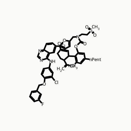 C=C(C)C1CCC(C)=CC1c1c(O)cc(CCCCC)cc1OC(=O)N(CCS(C)(=O)=O)Cc1ccc(-c2ccc3ncnc(Nc4ccc(OCc5cccc(F)c5)c(Cl)c4)c3c2)o1